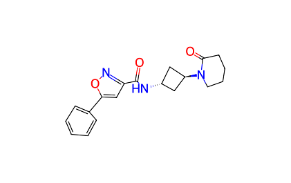 O=C(N[C@H]1C[C@H](N2CCCCC2=O)C1)c1cc(-c2ccccc2)on1